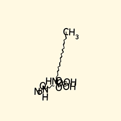 CCC=CCC=CCC=CCC=CCC=CCC=CCCC(=O)N[C@@H](CCCCNC(=O)c1cccnc1)C(=O)OC(CO)CO